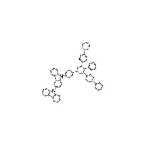 c1ccc(-c2ccc(-c3cc(-c4ccc(-n5c6ccccc6c6cc(-n7c8ccccc8c8ccccc87)ccc65)cc4)cc(-c4ccc(-c5ccccc5)cc4)c3-c3ccccc3)cc2)cc1